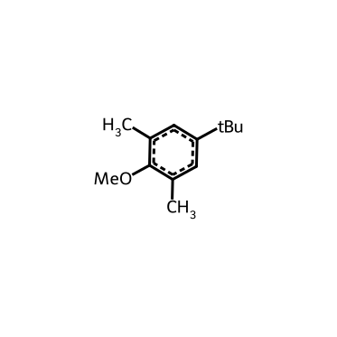 COc1c(C)cc(C(C)(C)C)cc1C